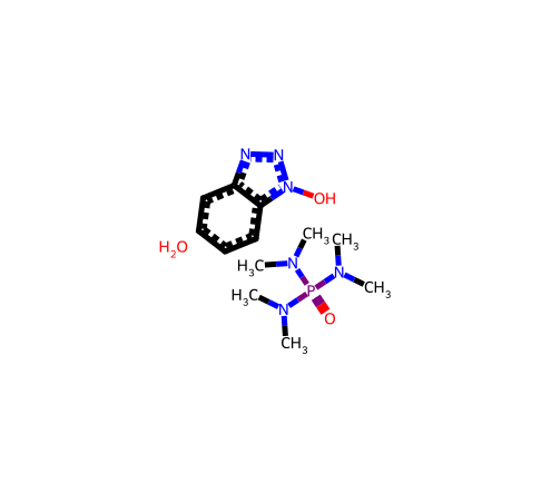 CN(C)P(=O)(N(C)C)N(C)C.O.On1nnc2ccccc21